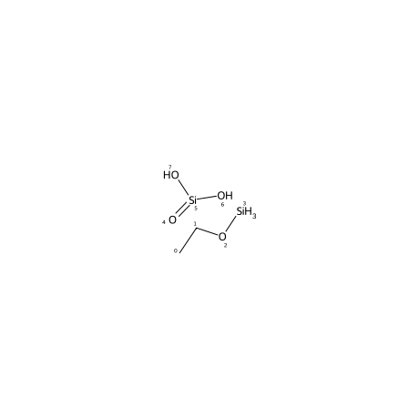 CCO[SiH3].O=[Si](O)O